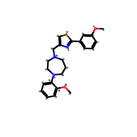 COc1cccc(-c2nc(CN3CCCN(c4ccccc4OC)CC3)cs2)c1